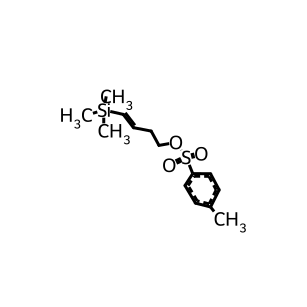 Cc1ccc(S(=O)(=O)OCCC=C[Si](C)(C)C)cc1